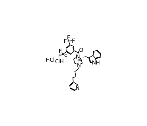 Cl.Cl.O=C(c1cc(C(F)(F)F)cc(C(F)(F)F)c1)N1CCN(CCCCc2cccnc2)C[C@H]1Cc1c[nH]c2ccccc12